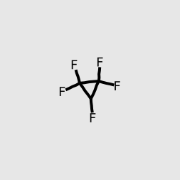 FC1C(F)(F)C1(F)F